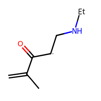 C=C(C)C(=O)[CH]CNCC